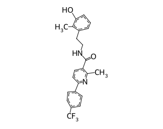 Cc1nc(-c2ccc(C(F)(F)F)cc2)ccc1C(=O)NCCc1cccc(O)c1C